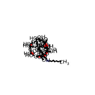 CCCCCCCC/C=C\CCCCCCCC(=O)N(CCNCC1OC2OC3C(CO)OC(OC4C(CO)OC(OC5C(CO)OC(OC6C(CO)OC(OC7C(CO)OC(OC1C(O)C2O)C(O)C7O)C(O)C6O)C(O)C5O)C(O)C4O)C(O)C3O)CCNC(C)=O